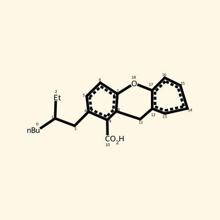 CCCCC(CC)Cc1ccc2c(c1C(=O)O)Cc1ccccc1O2